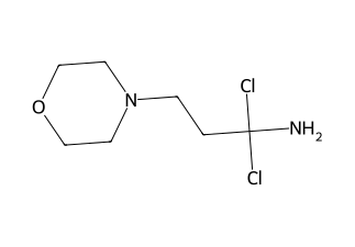 NC(Cl)(Cl)CCN1CCOCC1